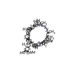 [2H]C([2H])([2H])O[C@H]1C[C@@H]2CC[C@@H](C)[C@@](O)(O2)C(=O)C(=O)N2CCCC[C@H]2C(=O)O[C@H]([C@H](C)C[C@@H]2CC[C@@H](O)[C@H](OC)C2)CC(=O)[C@H](C([2H])([2H])[2H])/C=C(\C)[C@@H](O)[C@@H](OC)C(=C)[C@H](C)C[C@H](C)/C=C/C=C/C=C/1C